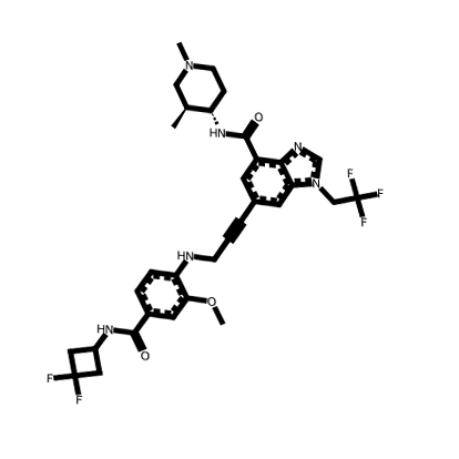 COc1cc(C(=O)NC2CC(F)(F)C2)ccc1NCC#Cc1cc(C(=O)N[C@H]2CCN(C)C[C@@H]2C)c2ncn(CC(F)(F)F)c2c1